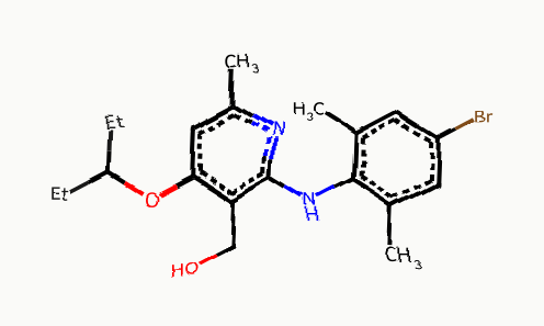 CCC(CC)Oc1cc(C)nc(Nc2c(C)cc(Br)cc2C)c1CO